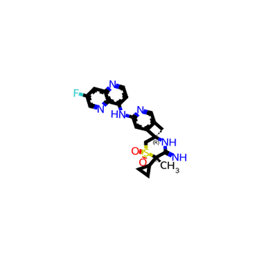 C[C@]1(C2CC2)C(=N)N[C@@]2(Cc3cnc(Nc4ccnc5cc(F)cnc45)cc32)CS1(=O)=O